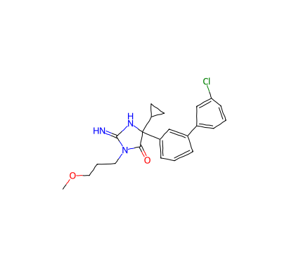 COCCCN1C(=N)NC(c2cccc(-c3cccc(Cl)c3)c2)(C2CC2)C1=O